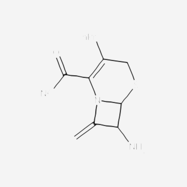 C=C1C(N)C2SCC(CCC)=C(C(=O)C#N)N12